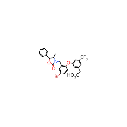 CC1C(c2ccccc2)OC(=O)N1Cc1cc(Br)ccc1Oc1cc(CC(=O)O)cc(C(F)(F)F)c1